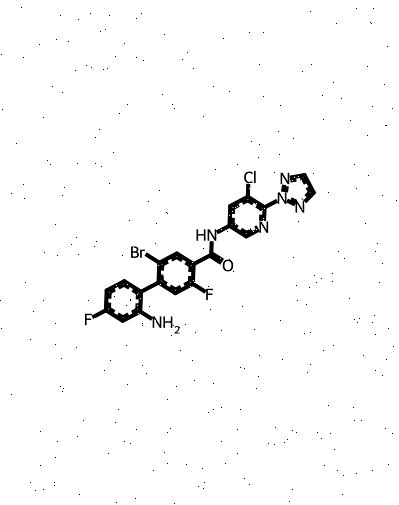 Nc1cc(F)ccc1-c1cc(F)c(C(=O)Nc2cnc(-n3nccn3)c(Cl)c2)cc1Br